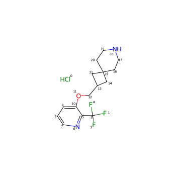 Cl.FC(F)(F)c1ncccc1OCC1CC2(CCNCC2)C1